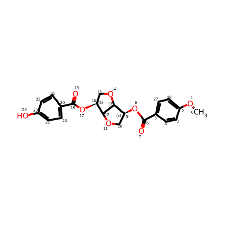 COc1ccc(C(=O)O[C@H]2COC3C2OC[C@@H]3OC(=O)c2ccc(O)cc2)cc1